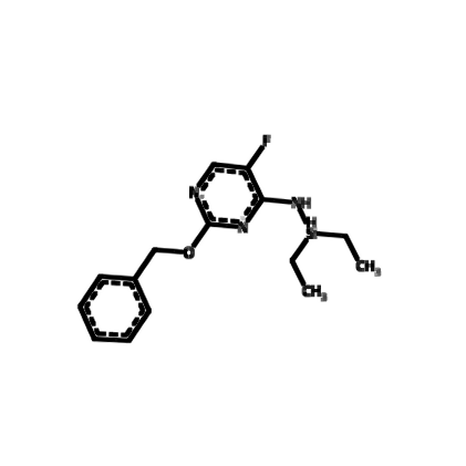 CC[SiH](CC)Nc1nc(OCc2ccccc2)ncc1F